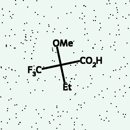 CCC(OC)(C(=O)O)C(F)(F)F